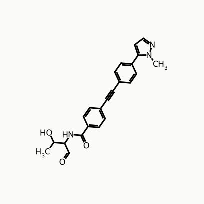 CC(O)C(C=O)NC(=O)c1ccc(C#Cc2ccc(-c3ccnn3C)cc2)cc1